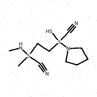 CNS(C)(C#N)CCS(S)(C#N)N1CCCC1